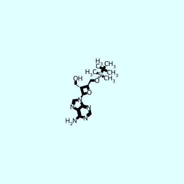 CC(C)(C)[Si](C)(C)OC[C@H]1O[C@@H](n2cnc3c(N)ncnc32)[C@@H]1CO